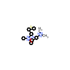 Cc1nc(C)nc(-c2ccc3c4ccccc4n(-c4ccc(-c5cccc6sc7ccccc7c56)cc4-c4nc(-c5ccccc5)nc(-c5ccccc5)n4)c3c2)n1